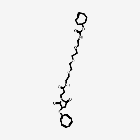 O=C(CCN1C(=O)CC(SC2=C/C=C\C=C/C=C\2)C1=O)NCCOCCOCCOCCNC(=O)OC1CC/C=C/CCC1